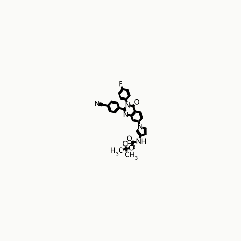 CC(C)(C)OC(=O)Nc1ccn(-c2ccc3c(=O)n(-c4ccc(F)cc4)c(-c4ccc(C#N)cc4)nc3c2)c1